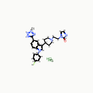 CCn1nnc(-c2ccc3c(c2)c(C2CCN(CC[N+]4=CC=NC4=O)CC2)cn3-c2ccc(F)cc2)n1.Cl.Cl